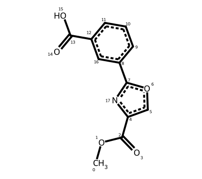 COC(=O)c1coc(-c2cccc(C(=O)O)c2)n1